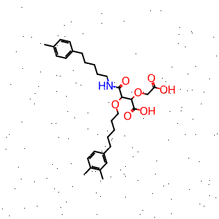 Cc1ccc(CCCCCNC(=O)C(OCCCCCc2ccc(C)c(C)c2)C(OCC(=O)O)C(=O)O)cc1